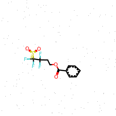 O=C(OCCC(F)(F)C(F)(F)[SH](=O)=O)c1ccccc1